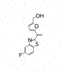 C=C(c1ccc(CO)o1)c1nc2cc(F)ccc2s1